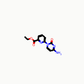 CCOC(=O)c1cccc(-n2ccc(N)nc2=O)n1